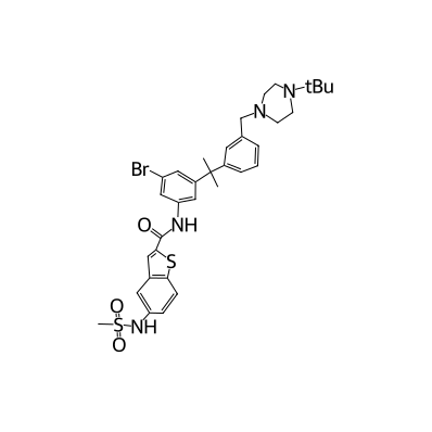 CC(C)(c1cccc(CN2CCN(C(C)(C)C)CC2)c1)c1cc(Br)cc(NC(=O)c2cc3cc(NS(C)(=O)=O)ccc3s2)c1